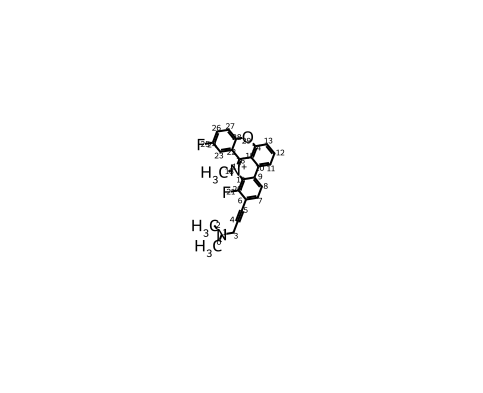 CN(C)CC#Cc1ccc2c3cccc4c3c([n+](C)c2c1F)-c1cc(F)ccc1O4